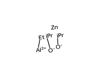 CC(C)[O-].CC(C)[O-].C[CH2][Al+2].[Zn]